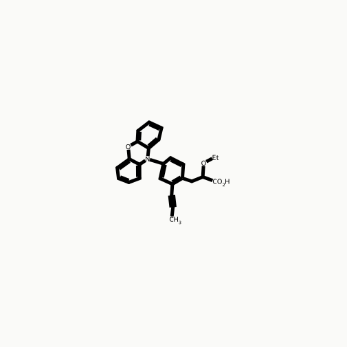 CC#Cc1cc(N2c3ccccc3Oc3ccccc32)ccc1CC(OCC)C(=O)O